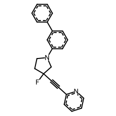 FC1(C#Cc2ccccn2)CCN(c2cccc(-c3ccccc3)c2)C1